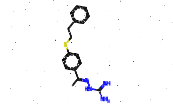 CC(=NNC(=N)N)c1ccc(SCCc2ccccc2)cc1